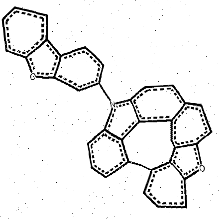 c1ccc2c(c1)oc1cc(-n3c4cccc5c4c4c6c(ccc7oc8cccc-5c8c76)ccc43)ccc12